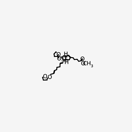 COC(=O)CCCCC1=C[C@@H]2C[C@@H](OC3CCCO3)[C@H](C=CCCCC=CCOC3CCCO3)[C@@H]2C1